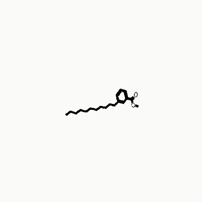 CCCCCCCCCCCc1cccc(C(=O)OC)c1